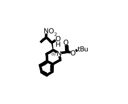 CC(C(O)[C@@H]1Cc2ccccc2CN1C(=O)OC(C)(C)C)[N+](=O)[O-]